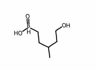 CC(CCO)CC[PH](=O)O